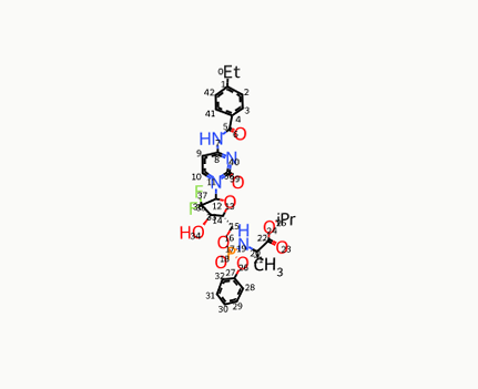 CCc1ccc(C(=O)Nc2ccn(C3O[C@H](COP(=O)(N[C@H](C)C(=O)OC(C)C)Oc4ccccc4)[C@@H](O)C3(F)F)c(=O)n2)cc1